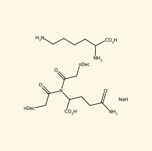 CCCCCCCCCCCC(=O)N(C(=O)CCCCCCCCCCC)C(CCC(N)=O)C(=O)O.NCCCCC(N)C(=O)O.[NaH]